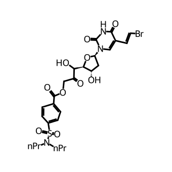 CCCN(CCC)S(=O)(=O)c1ccc(C(=O)OCC(=O)C(O)[C@H]2O[C@@H](n3cc(/C=C/Br)c(=O)[nH]c3=O)C[C@@H]2O)cc1